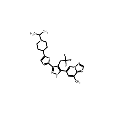 Cc1cc(-c2[nH]nc(-c3ncc(C4CCN(C(C)C)CC4)s3)c2CC(F)(F)F)cn2ncnc12